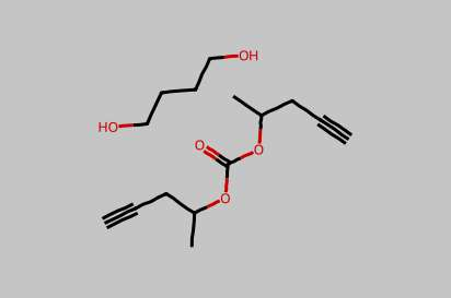 C#CCC(C)OC(=O)OC(C)CC#C.OCCCCO